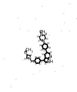 COC1CN(Cc2ccc(-c3c[nH]c4ncc(-c5ccc(N6CCN(C)CC6)cc5)cc34)cc2)C1